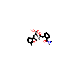 Cc1cccc2c1OCC2C[C@H]([AsH]C(=O)Cc1ccccc1C(=O)N(C)C)B(O)O